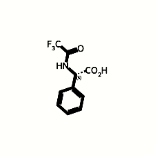 O=C(O)[C@@H](NC(=O)C(F)(F)F)c1ccccc1